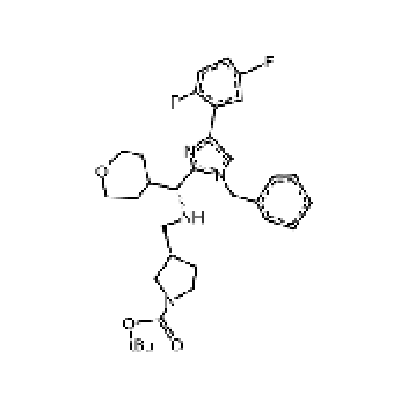 CC(C)(C)OC(=O)N1CC[C@H](CN[C@@H](c2nc(-c3cc(F)ccc3F)cn2Cc2ccccc2)C2CCOCC2)C1